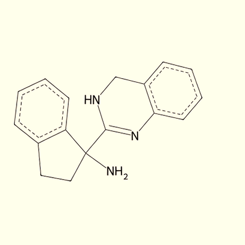 NC1(C2=Nc3ccccc3CN2)CCc2ccccc21